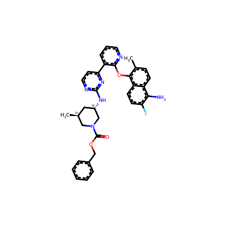 Cc1ccc2c(N)c(F)ccc2c1Oc1ncccc1-c1ccnc(N[C@H]2C[C@H](C)CN(C(=O)OCc3ccccc3)C2)n1